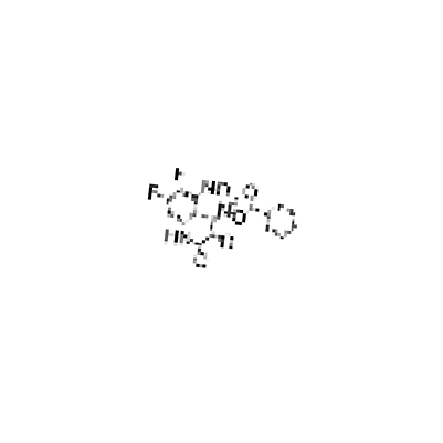 O=C1Nc2cc(F)c(F)c([N+](=O)[O-])c2C(=NOC(=O)c2ccccc2)C1=O